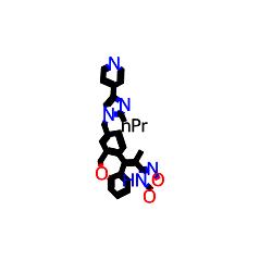 CCCc1nc(-c2ccncc2)cn1Cc1ccc2c(c1)COc1ccccc1/C2=C(/C)c1noc(=O)[nH]1